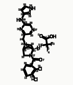 O=C(O)C(F)(F)F.O=C(c1cccc(Cl)c1Cl)N1CC2C[C@H]1CN2Cc1cncc(Nc2cc[nH]n2)n1